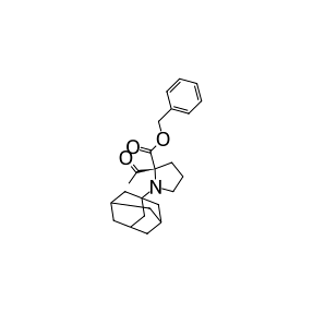 CC(=O)[C@@]1(C(=O)OCc2ccccc2)CCCN1C12CC3CC(CC(C3)C1)C2